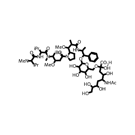 CCC(C)C(C(CC(=O)N1CCCC1C(OC)C(C)C(=O)NC(C)C(OC1OC(COC(O)(CC(O)C(CC(O)C(O)CO)NC(C)=O)C(=O)O)C(O)C(O)C1O)c1ccccc1)OC)N(C)C(=O)C(NC(=O)C(NC)C(C)C)C(C)C